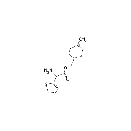 CN1CCC(COC(=O)C(N)c2cccs2)CC1